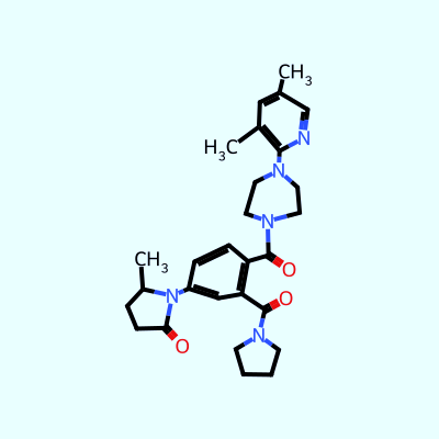 Cc1cnc(N2CCN(C(=O)c3ccc(N4C(=O)CCC4C)cc3C(=O)N3CCCC3)CC2)c(C)c1